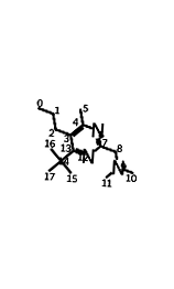 CCCc1c(C)nc(CN(C)C)nc1C(C)(C)C